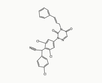 N#CC(c1ccc(Cl)cc1)c1c(Cl)cc(-n2ncc(=O)n(C/C=C/c3ccccc3)c2=O)cc1Cl